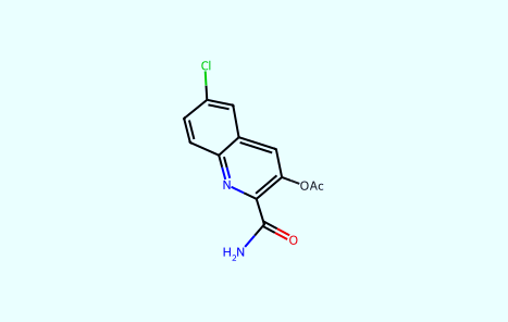 CC(=O)Oc1cc2cc(Cl)ccc2nc1C(N)=O